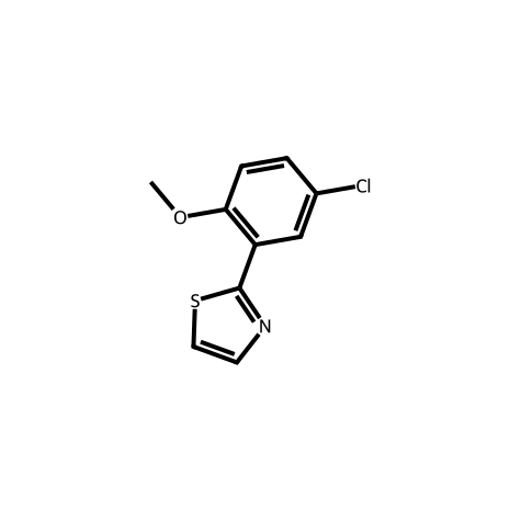 COc1ccc(Cl)cc1-c1nccs1